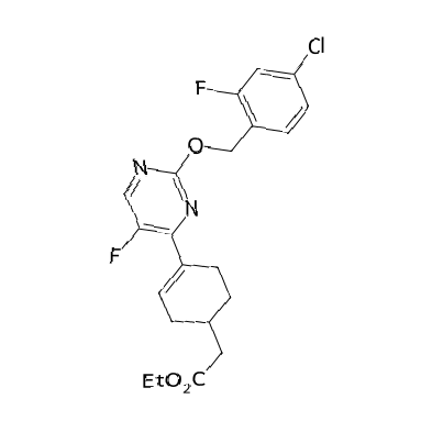 CCOC(=O)CC1CC=C(c2nc(OCc3ccc(Cl)cc3F)ncc2F)CC1